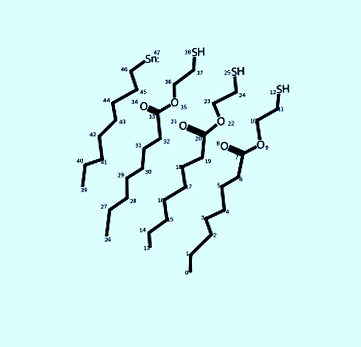 CCCCCCCC(=O)OCCS.CCCCCCCC(=O)OCCS.CCCCCCCC(=O)OCCS.CCCCCCC[CH2][Sn]